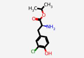 CC(C)OC(=O)[C@@H](N)Cc1ccc(O)c(Cl)c1